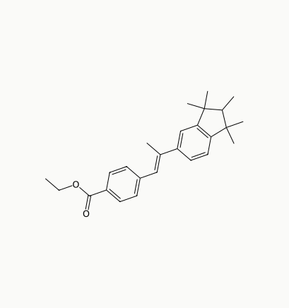 CCOC(=O)c1ccc(C=C(C)c2ccc3c(c2)C(C)(C)C(C)C3(C)C)cc1